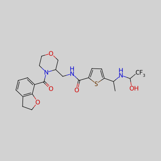 CC(NC(O)C(F)(F)F)c1ccc(C(=O)NCC2COCCN2C(=O)c2cccc3c2OCC3)s1